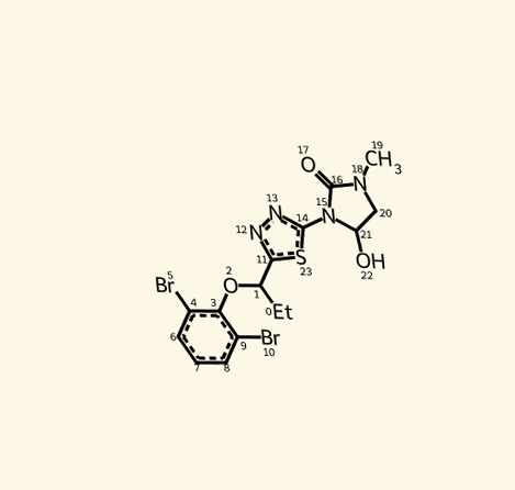 CCC(Oc1c(Br)cccc1Br)c1nnc(N2C(=O)N(C)CC2O)s1